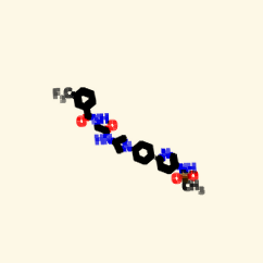 CS(=O)(=O)Nc1ccc([C@H]2CC[C@@H](N3CC(NC(=O)CNC(=O)c4cccc(C(F)(F)F)c4)C3)CC2)nc1